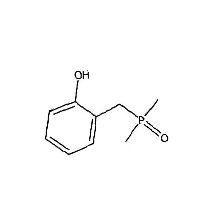 CP(C)(=O)Cc1ccccc1O